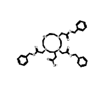 O=C(O)CC1CN(CC(=O)OCc2ccccc2)CCNCCN(CC(=O)OCc2ccccc2)CCN1CC(=O)OCc1ccccc1